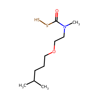 CC(C)CCCOCCN(C)C(=O)SS